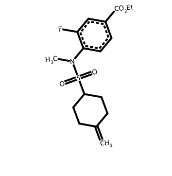 C=C1CCC(S(=O)(=O)N(C)c2ccc(C(=O)OCC)cc2F)CC1